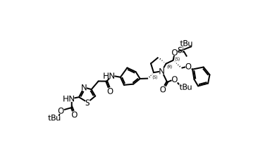 CC(C)(C)OC(=O)Nc1nc(CC(=O)Nc2ccc(C[C@@H]3CC[C@H]([C@@H](COc4ccccc4)O[Si](C)(C)C(C)(C)C)N3C(=O)OC(C)(C)C)cc2)cs1